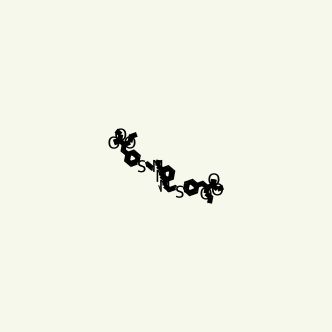 CCOC(Cc1ccc(SCCN(C)c2cccc(N(C)CCSc3ccc(CC(OCC)C(=O)OC)cc3)n2)cc1)C(=O)OC